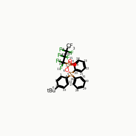 CC(C)(C)c1ccc(S(OS(=O)(=O)C(F)(F)C(F)(F)C(F)(F)C(F)(F)F)(c2ccccc2)c2ccccc2)cc1